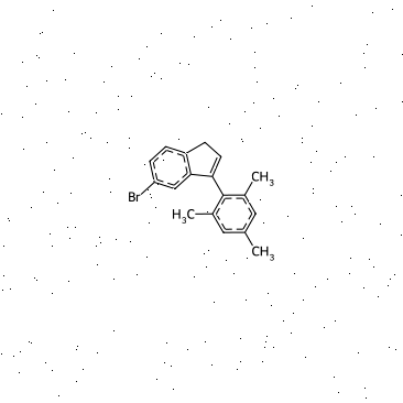 Cc1cc(C)c(C2=CCc3ccc(Br)cc32)c(C)c1